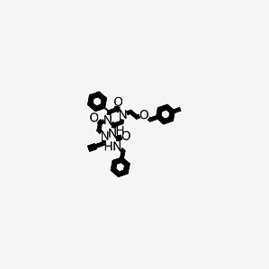 C#CCN1CC(=O)N2[C@@H](c3ccccc3)C(=O)N(CCOCc3ccc(C)cc3)C[C@@H]2N1C(=O)NCc1ccccc1